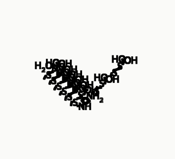 CCSCCSCC(O)O.CCSCCSCC(O)O.CCSCCSCC(O)O.CCSCCSCC(O)O.CCSCCSCC(O)O.CCSCCSCC(O)O.CCSCCSCC(O)O.CCSCCSCC(O)O.CNc1ccc(N)cc1.O